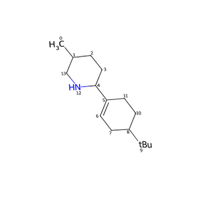 CC1CCC(C2=CCC(C(C)(C)C)CC2)NC1